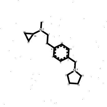 CN(CCc1ccc(CN2CCCC2)cc1)C1CC1